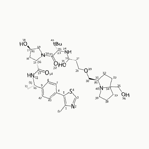 Cc1ncsc1-c1ccc([C@H](C)NC(=O)[C@@H]2C[C@@H](O)CN2C(=O)[C@@H](NC(O)CCOC[C@H]2CCC3(CO)CCCN23)C(C)(C)C)cc1